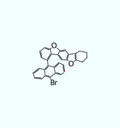 C\C=C/C=c1/c(-c2cccc3oc4cc5c6c(oc5cc4c23)CCCC6)c2ccccc2c(Br)/c1=C/C